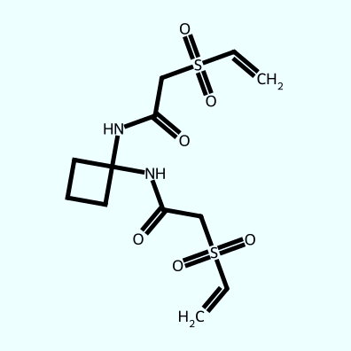 C=CS(=O)(=O)CC(=O)NC1(NC(=O)CS(=O)(=O)C=C)CCC1